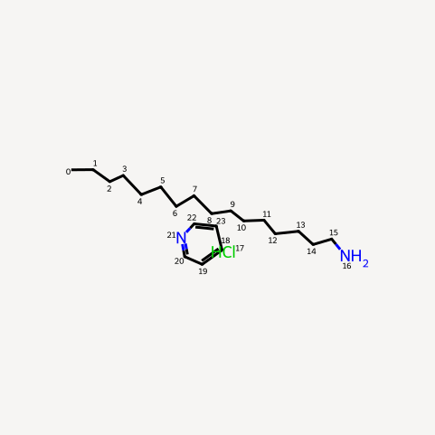 CCCCCCCCCCCCCCCCN.Cl.c1ccncc1